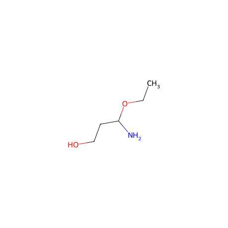 CCOC(N)CCO